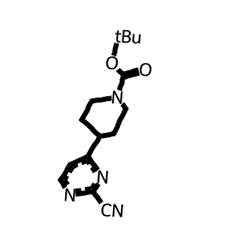 CC(C)(C)OC(=O)N1CCC(c2ccnc(C#N)n2)CC1